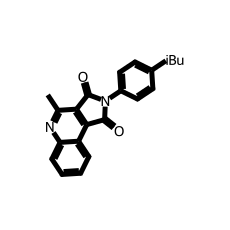 CCC(C)c1ccc(N2C(=O)c3c(C)nc4ccccc4c3C2=O)cc1